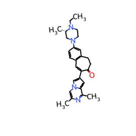 CCN1CCN(c2ccc3c(c2)CCC(=O)C(c2cc4c(C)nc(C)cn4c2)=C3)C[C@@H]1C